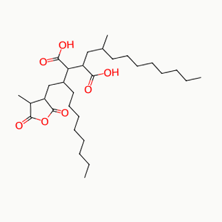 CCCCCCCCC(C)CC(C(=O)O)C(C(=O)O)C(CCCCCCCC)CC1C(=O)OC(=O)C1C